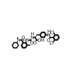 Cc1cccc(C(=O)N(C)C2CCCCC2)c1NC(=O)N[C@@H](Cc1ccc(NC(=O)c2c(Cl)cccc2Cl)cc1)C(=O)O